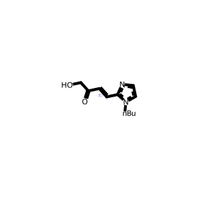 CCCCn1ccnc1/C=C/C(=O)CO